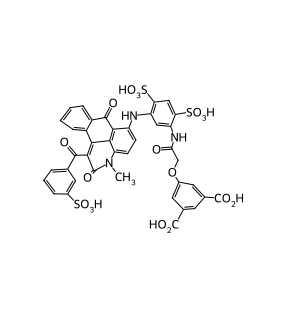 Cn1c(=O)c(C(=O)c2cccc(S(=O)(=O)O)c2)c2c3c(c(Nc4cc(NC(=O)COc5cc(C(=O)O)cc(C(=O)O)c5)c(S(=O)(=O)O)cc4S(=O)(=O)O)ccc31)C(=O)c1ccccc1-2